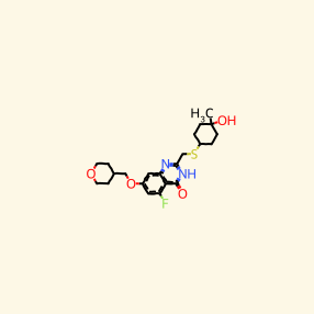 CC1(O)CCC(SCc2nc3cc(OCC4CCOCC4)cc(F)c3c(=O)[nH]2)CC1